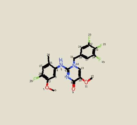 COc1cc(Nc2nc(=O)c(OC)cn2Cc2cc(F)c(F)c(F)c2)c(C)cc1F